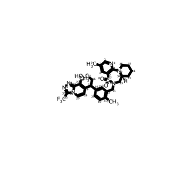 Cc1cnc2c(c1)S(=O)(=O)N(Cc1cc(C(CC(=O)O)c3ccn4c(C(F)(F)F)nnc4c3C)ccc1C)C[C@@H]1CCCCN21